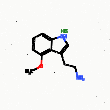 COc1cccc2[nH]cc(CCN)c12.Cl